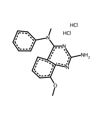 COc1cccc2c(N(C)c3ccccc3)nc(N)nc12.Cl.Cl